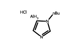 CCCCn1ccnc1.Cl.[AlH3]